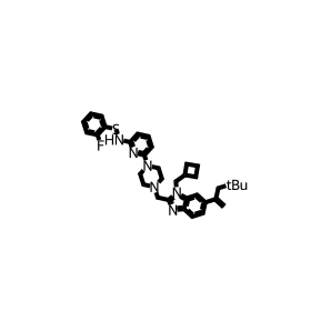 C=C(CC(C)(C)C)c1ccc2nc(CN3CCN(c4cccc(NSc5ccccc5F)n4)CC3)n(CC3CCC3)c2c1